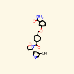 N#Cc1cncc([C@@H]2CCON2C(=O)[C@H]2CC[C@H](COc3cccc(C(N)=O)c3)CC2)c1